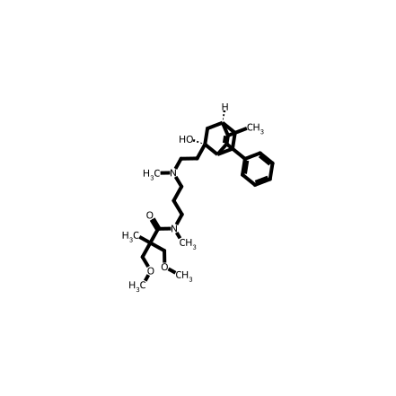 COCC(C)(COC)C(=O)N(C)CCCN(C)CC[C@@]1(O)C[C@H]2CCC1C(c1ccccc1)=C2C